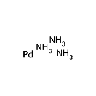 N.N.N.[Pd]